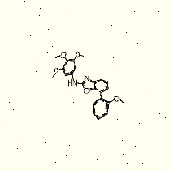 COc1ccccc1-c1cccc2nc(Nc3cc(OC)c(OC)c(OC)c3)oc12